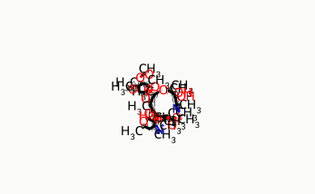 CC[C@H]1OC(=O)[C@H](C)[C@@H](O[C@H]2C[C@@](C)(OC)[C@@H](OC(C)=O)[C@H](C)O2)[C@H](C)[C@@H](O[C@@H]2O[C@H](C)C[C@H](N(C)C)[C@H]2OCCC(=O)OC)[C@](C)(O)C[C@@H](C)CN(C)[C@H](C)[C@@H](O)[C@]1(C)O